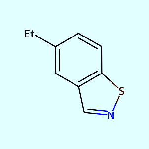 CCc1ccc2sncc2c1